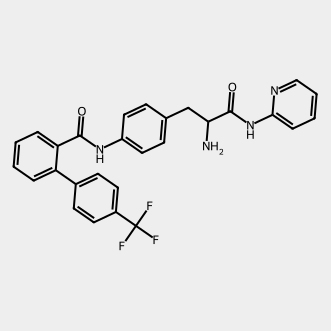 NC(Cc1ccc(NC(=O)c2ccccc2-c2ccc(C(F)(F)F)cc2)cc1)C(=O)Nc1ccccn1